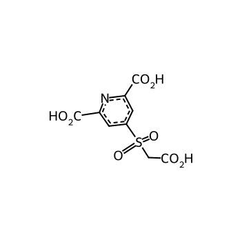 O=C(O)CS(=O)(=O)c1cc(C(=O)O)nc(C(=O)O)c1